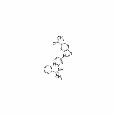 CC(=O)c1ccc2ncn(-c3ccnc(N[C@@H](C)c4ccccc4)n3)c2c1